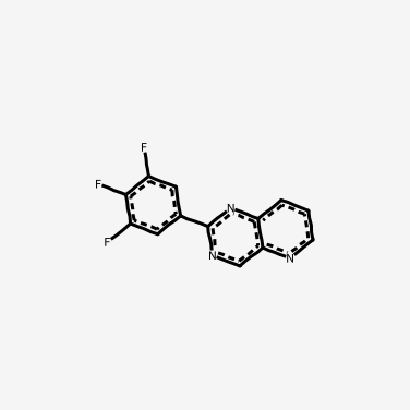 Fc1cc(-c2ncc3ncccc3n2)cc(F)c1F